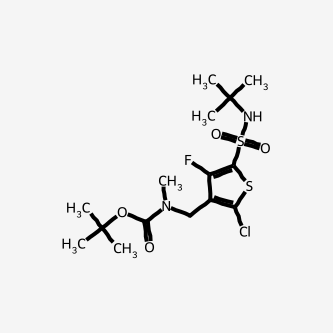 CN(Cc1c(Cl)sc(S(=O)(=O)NC(C)(C)C)c1F)C(=O)OC(C)(C)C